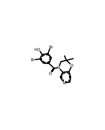 CC1(C)CN(C(=O)c2cc(Br)c(O)c(Br)c2)c2cnccc2O1